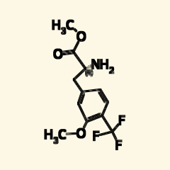 COC(=O)[C@H](N)Cc1ccc(C(F)(F)F)c(OC)c1